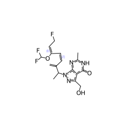 C=C(/C=C\C(=C/CF)OC(F)F)C(C)n1nc(CO)c2c(=O)[nH]c(C)nc21